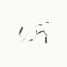 C=Cc1c(C)noc1/N=C\C(C)(C)C=C